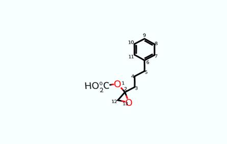 O=C(O)OC1(CCCc2ccccc2)CO1